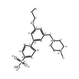 CCCOc1cc(CN2CCN(C)CC2)cc(-c2ccc(S(=O)(=O)O)cc2)c1